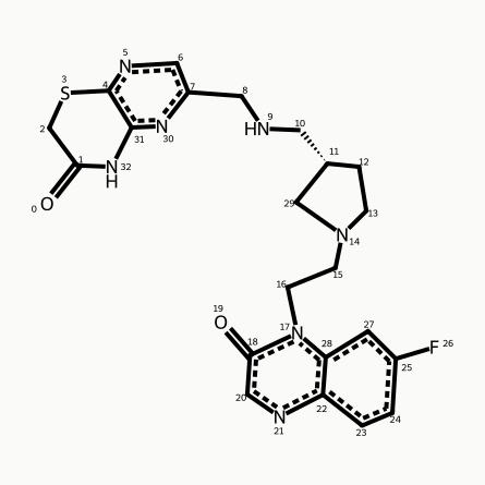 O=C1CSc2ncc(CNC[C@@H]3CCN(CCn4c(=O)cnc5ccc(F)cc54)C3)nc2N1